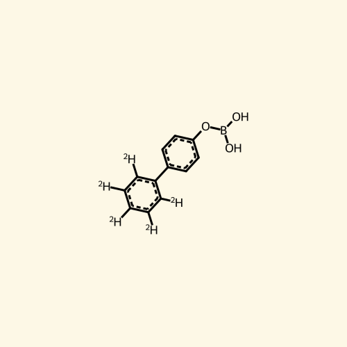 [2H]c1c([2H])c([2H])c(-c2ccc(OB(O)O)cc2)c([2H])c1[2H]